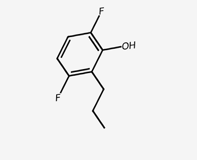 CCCc1c(F)ccc(F)c1O